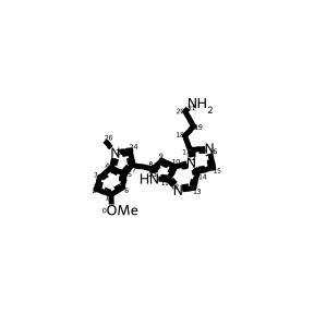 COc1ccc2c(c1)c(-c1cc3c(ncc4cnc(CCCN)n43)[nH]1)cn2C